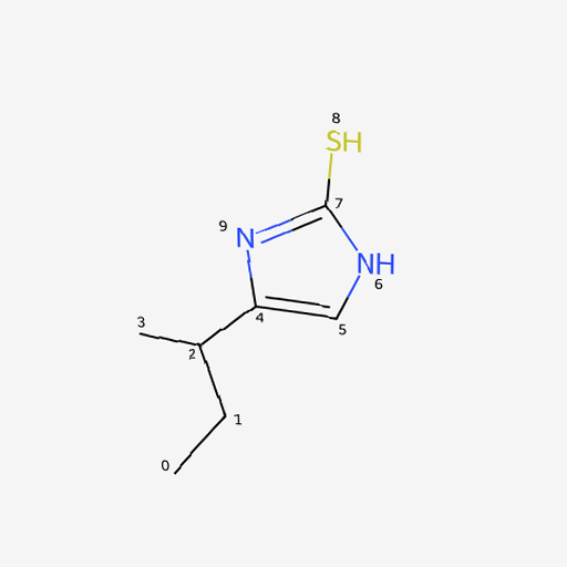 CCC(C)c1c[nH]c(S)n1